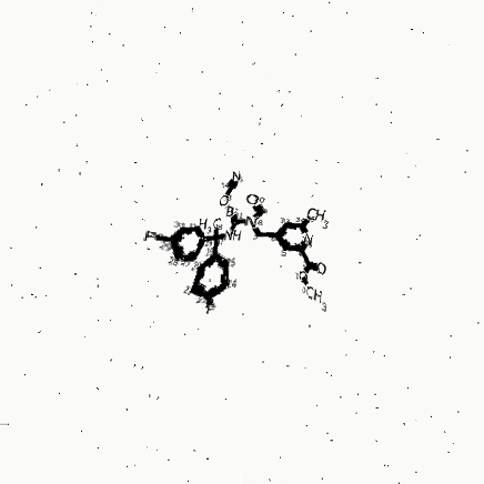 COC(=O)c1cc(CN(C=O)C(=BOC#N)NC(C)(c2ccc(F)cc2)c2ccc(F)cc2)cc(C)n1